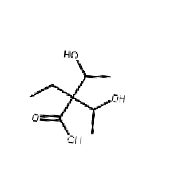 CCC(C(=O)O)(C(C)O)C(C)O